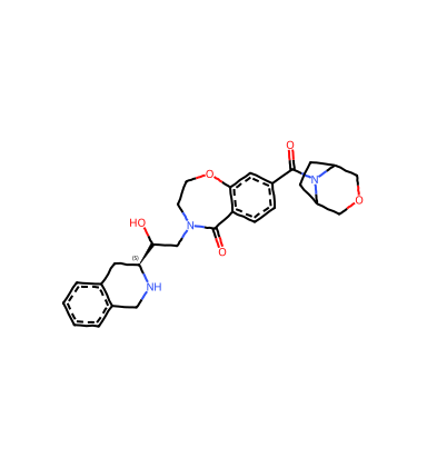 O=C1c2ccc(C(=O)N3C4CCC3COC4)cc2OCCN1CC(O)[C@@H]1Cc2ccccc2CN1